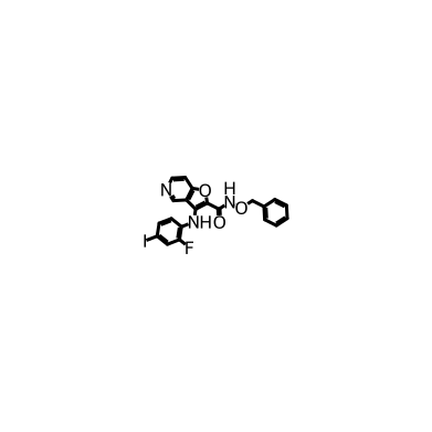 O=C(NOCc1ccccc1)c1oc2ccncc2c1Nc1ccc(I)cc1F